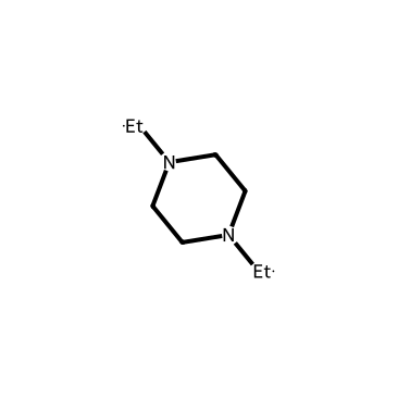 [CH2][CH]N1CCN([CH][CH2])CC1